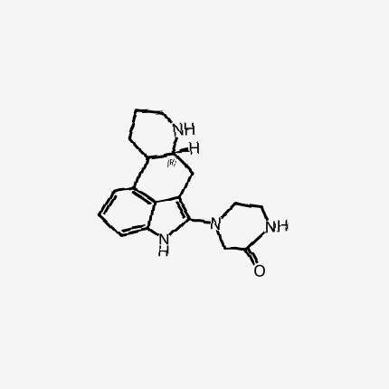 O=C1CN(c2[nH]c3cccc4c3c2C[C@H]2NCCCC42)CCN1